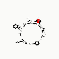 C[C@H]1NC[C@H](Cc2c[nH]c3ccc(F)cc23)CC(=O)CNC(=O)[C@H](CCCCN)NC(=O)CCSCc2cccc(c2)CSC[C@@H](C(N)=O)NC(=O)[C@]2(C)CCCN2C(=O)[C@H](Cc2ccc(O)cc2)NC(=O)[C@H](Cc2cnc[nH]2)NC(=O)[C@H](CC(=O)O)NC1=O